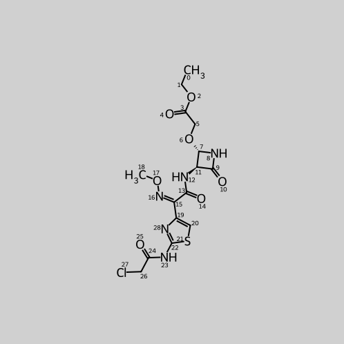 CCOC(=O)CO[C@@H]1NC(=O)[C@H]1NC(=O)C(=NOC)c1csc(NC(=O)CCl)n1